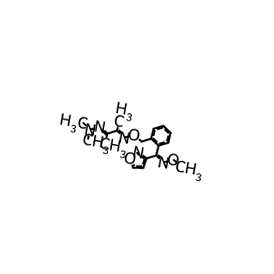 CO/N=C(/c1ccon1)c1ccccc1CO/N=C(C)/C(C)=N/N(C)C